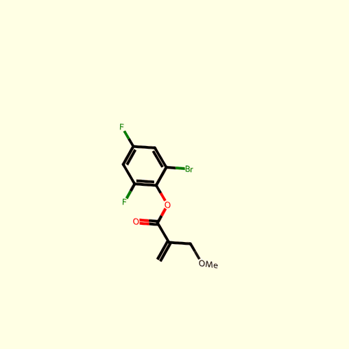 C=C(COC)C(=O)Oc1c(F)cc(F)cc1Br